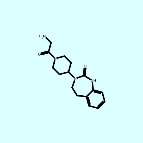 NCC(=O)N1CCC(N2CCc3ccccc3NC2=O)CC1